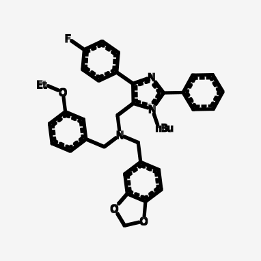 CCCCn1c(-c2ccccc2)nc(-c2ccc(F)cc2)c1CN(Cc1cccc(OCC)c1)Cc1ccc2c(c1)OCO2